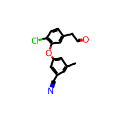 Cc1cc(C#N)cc(Oc2cc(CC=O)ccc2Cl)c1